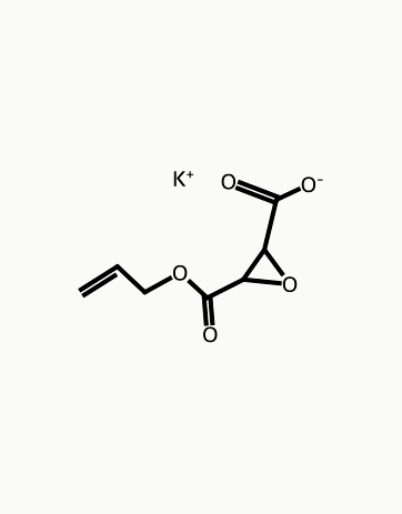 C=CCOC(=O)C1OC1C(=O)[O-].[K+]